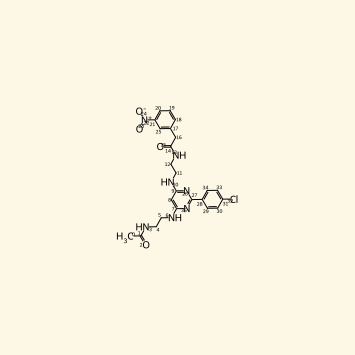 CC(=O)NCCNc1cc(NCCNC(=O)Cc2cccc([N+](=O)[O-])c2)nc(-c2ccc(Cl)cc2)n1